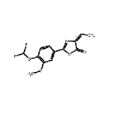 C/C=C1/N=C(c2ccc(OC(F)F)c(OC)c2)OC1=O